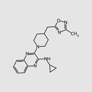 Cc1noc(CC2CCN(c3nc4ccccc4nc3NC3CC3)CC2)n1